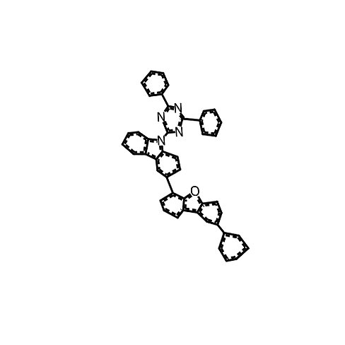 c1ccc(-c2ccc3oc4c(-c5ccc6c(c5)c5ccccc5n6-c5nc(-c6ccccc6)nc(-c6ccccc6)n5)cccc4c3c2)cc1